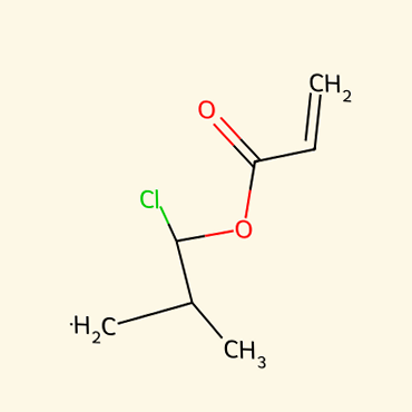 [CH2]C(C)C(Cl)OC(=O)C=C